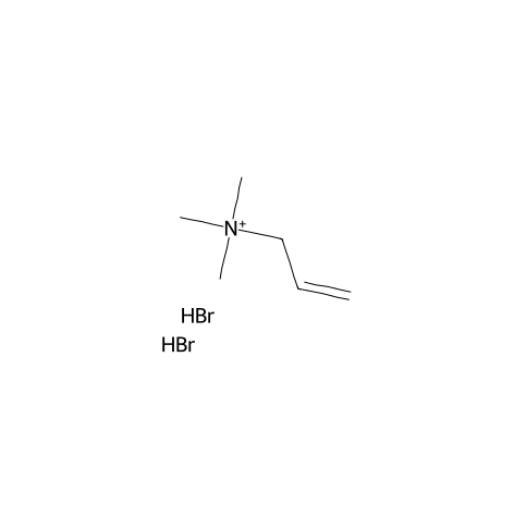 Br.Br.C=CC[N+](C)(C)C